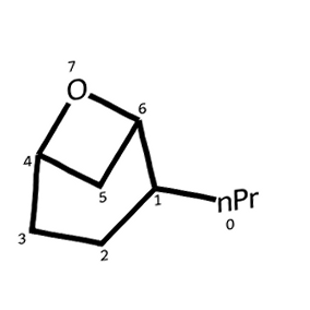 CCCC1CCC2CC1O2